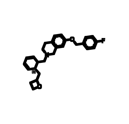 Fc1ccc(COc2ccc3c(c2)CN(CC2C=CC=C[C@@H]2CC2CCO2)CC3)cc1